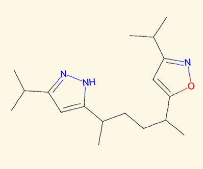 CC(C)c1cc(C(C)CCC(C)c2cc(C(C)C)no2)[nH]n1